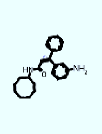 Nc1cccc(/C(=C\C(=O)NC2CCCCCCC2)c2ccccc2)c1